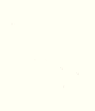 CCc1nc2ccccc2n1CC(=O)O[C@H]1CC[C@@H](C)CC1